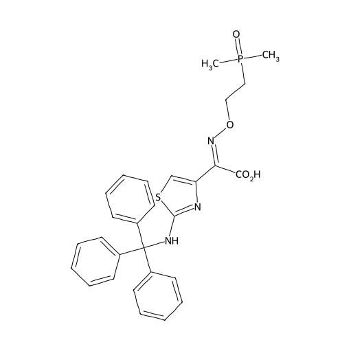 CP(C)(=O)CCO/N=C(\C(=O)O)c1csc(NC(c2ccccc2)(c2ccccc2)c2ccccc2)n1